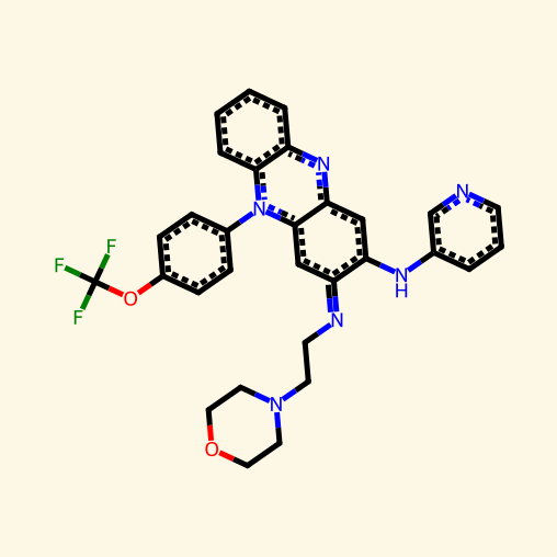 FC(F)(F)Oc1ccc(-n2c3c/c(=N\CCN4CCOCC4)c(Nc4cccnc4)cc-3nc3ccccc32)cc1